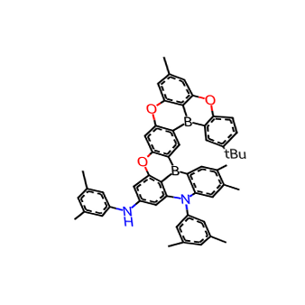 Cc1cc(C)cc(Nc2cc3c4c(c2)N(c2cc(C)cc(C)c2)c2cc(C)c(C)cc2B4c2cc4c(cc2O3)Oc2cc(C)cc3c2B4c2cc(C(C)(C)C)ccc2O3)c1